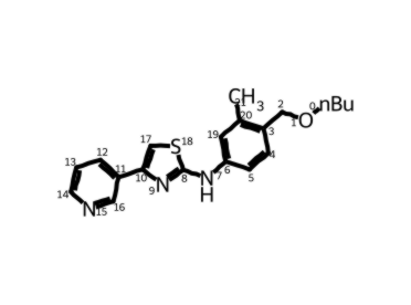 CCCCOCc1ccc(Nc2nc(-c3cccnc3)cs2)cc1C